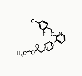 CCOC(=O)CN1CCN(c2cccnc2OCc2ccc(Cl)cc2F)CC1